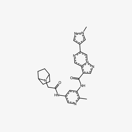 Cc1ncc(NC(=O)CN2C3CCC2CC3)cc1NC(=O)c1cnn2cc(-c3cnn(C)c3)ncc12